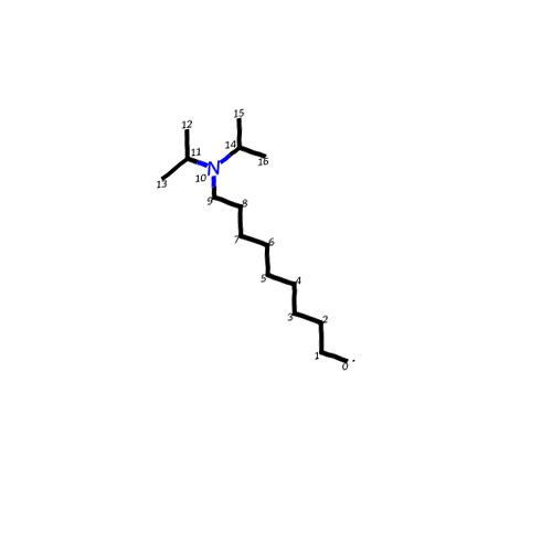 [CH2]CCCCCCCCCN(C(C)C)C(C)C